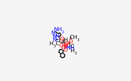 CCOC(=O)[C@H](C)NP(=O)(Oc1cccc2ccccc12)OC1[C@H]2O[C@@](C#N)(c3ccc4c(N)ncnn34)[C@@H](C)[C@@]12O